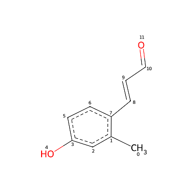 Cc1cc(O)ccc1C=CC=O